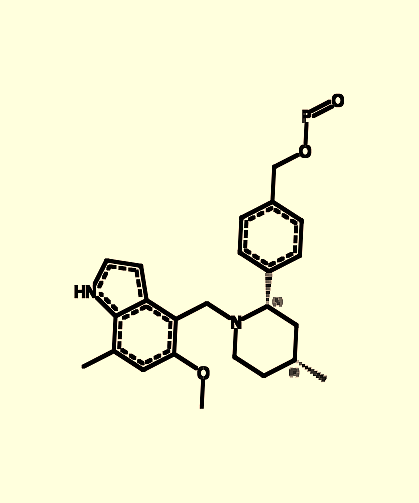 COc1cc(C)c2[nH]ccc2c1CN1CC[C@@H](C)C[C@H]1c1ccc(COP=O)cc1